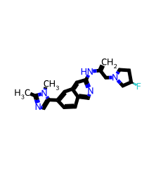 C=C(CN1CC[C@@H](F)C1)Nc1cc2cc(-c3cnc(C)n3C)ccc2cn1